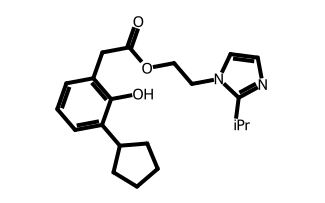 CC(C)c1nccn1CCOC(=O)Cc1cccc(C2CCCC2)c1O